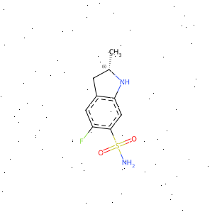 C[C@H]1Cc2cc(F)c(S(N)(=O)=O)cc2N1